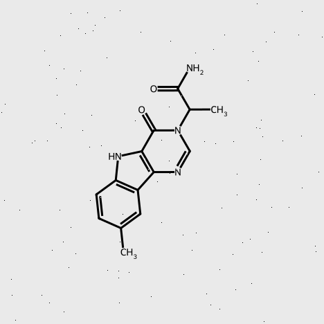 Cc1ccc2[nH]c3c(=O)n(C(C)C(N)=O)cnc3c2c1